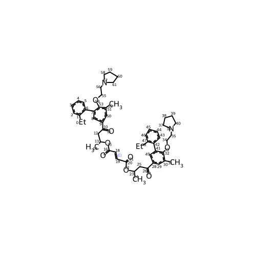 CCc1ccccc1-c1cc(C(=O)CC(C)OC(=O)/C=C/C(=O)OC(C)CC(=O)c2cc(C)c(OCCN3CCCC3)c(-c3ccccc3CC)c2)cc(C)c1OCCN1CCCC1